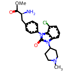 COC(=O)[C@@H](N)Cc1ccc(-n2c(=O)n(C3CCN(C)CC3)c3cccc(Cl)c32)cc1